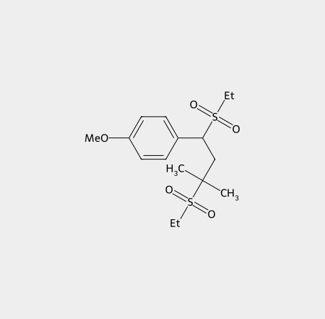 CCS(=O)(=O)C(CC(C)(C)S(=O)(=O)CC)c1ccc(OC)cc1